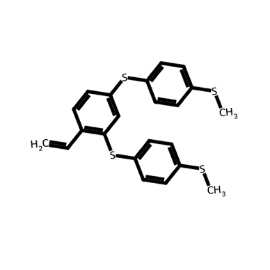 C=Cc1ccc(Sc2ccc(SC)cc2)cc1Sc1ccc(SC)cc1